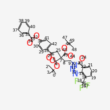 CC(C)(C)OC(=O)C(CCn1nnc2c(C(F)(F)F)cccc2c1=O)(CC(=O)c1ccc(OC(=O)c2ccccc2)cc1)C(=O)OC(C)(C)C